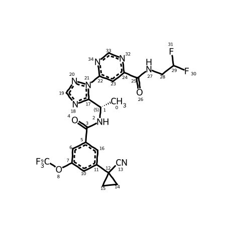 C[C@H](NC(=O)c1cc(OC(F)(F)F)cc(C2(C#N)CC2)c1)c1ncnn1-c1cc(C(=O)NCC(F)F)ncn1